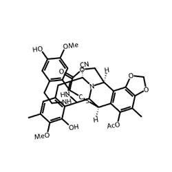 COc1cc2c(cc1O)CCN[C@]21CS[C@@H]2c3c(OC(C)=O)c(C)c4c(c3[C@H](COC1=O)N1C2C2NC(Cc3cc(C)c(OC)c(O)c32)[C@@H]1C#N)OCO4